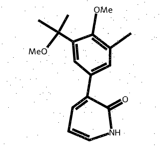 COc1c(C)cc(-c2ccc[nH]c2=O)cc1C(C)(C)OC